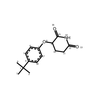 CC(C)(C)c1ccc(OC2CCC(=O)NC2=O)cc1